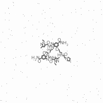 CCn1nc(C)cc1C(=O)Nc1nc2cc(C(N)=O)cc(OCCCNC(=O)CN3CC[C@H](C)C3)c2n1CCC[C@H]1COc2cc(C(N)=O)cc3nc(NC(=O)c4cc(C)nn4CC)n1c23